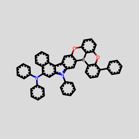 c1ccc(-c2cccc3c2Oc2cccc4c2B3c2cc3c(cc2O4)c2c4ccccc4c(N(c4ccccc4)c4ccccc4)cc2n3-c2ccccc2)cc1